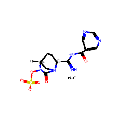 N=C(NC(=O)c1cncnc1)[C@@H]1CC[C@@H]2CN1C(=O)N2OS(=O)(=O)[O-].[Na+]